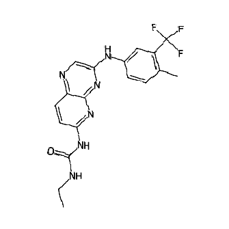 CCNC(=O)Nc1ccc2ncc(Nc3ccc(C)c(C(F)(F)F)c3)nc2n1